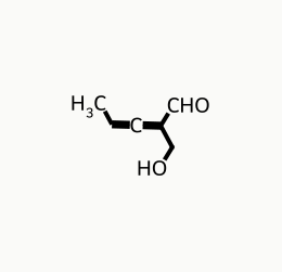 CC=C=C(C=O)CO